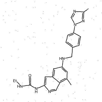 CCNC(=O)Nc1cc2cc(NCc3ccc(-n4cnc(C)n4)cc3)cc(C)c2cn1